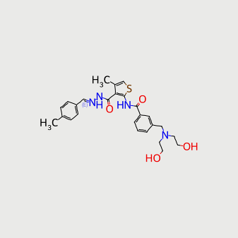 Cc1ccc(/C=N/NC(=O)c2c(C)csc2NC(=O)c2cccc(CN(CCO)CCO)c2)cc1